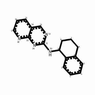 c1ccc2c(c1)CCCC2Nc1ncc2cccnc2n1